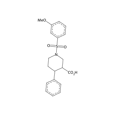 COc1cccc(S(=O)(=O)N2CCC(c3ccccc3)C(C(=O)O)C2)c1